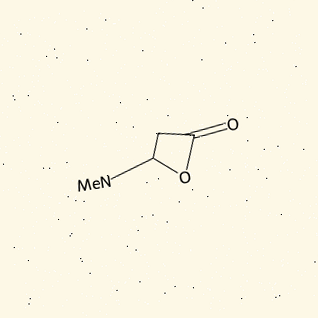 CNC1CC(=O)O1